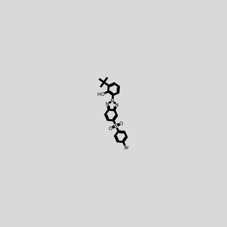 CC(C)(C)c1cccc(-n2nc3ccc(S(=O)(=O)c4ccc(Br)cc4)cc3n2)c1O